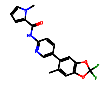 Cc1cc2c(cc1-c1ccc(NC(=O)c3cccn3C)nc1)OC(F)(F)O2